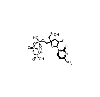 Nc1ccn([C@@H]2O[C@](CBr)(COP(=O)(O)OP(=O)(O)OP(=O)(O)O)[C@H](O)[C@H]2F)c(=O)n1